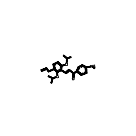 C=CCc1ccc(OC(C)C)c(/C=C/C(=O)c2ccc(NC)cc2)c1OC(C)C